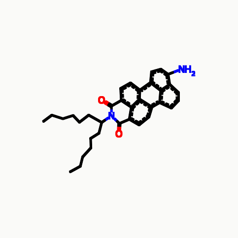 CCCCCCC(CCCCCC)N1C(=O)c2ccc3c4cccc5c(N)ccc(c6ccc(c2c36)C1=O)c54